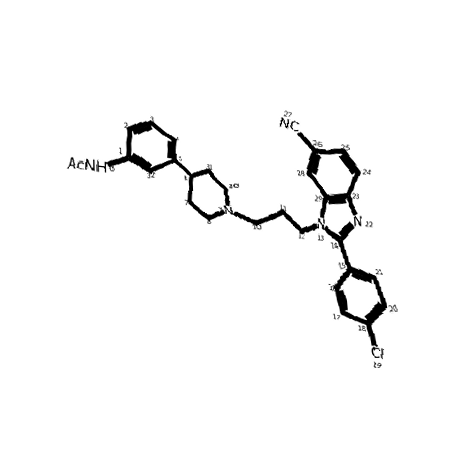 CC(=O)Nc1cccc(C2CCN(CCCn3c(-c4ccc(Cl)cc4)nc4ccc(C#N)cc43)CC2)c1